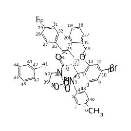 Cc1ccc(N[C@H](c2ccc(Br)cc2OCc2ccccc2)[C@@H](CCCc2ccc(F)cc2)C(=O)N2C(=O)OC[C@@H]2Cc2ccccc2)cc1